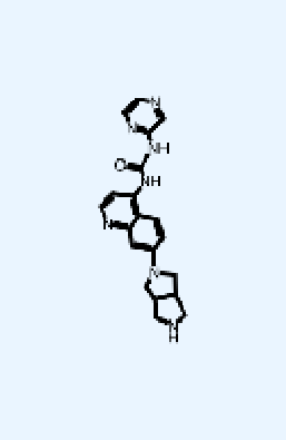 O=C(Nc1cnccn1)Nc1ccnc2cc(N3CC4CNCC4C3)ccc12